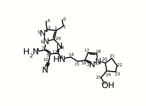 CCc1c(C)nn2c(N)c(C#N)c(NCCc3ccn(C4CCCC4CO)n3)nc12